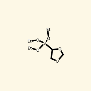 CCO[Si](OCC)(OCC)C1COCO1